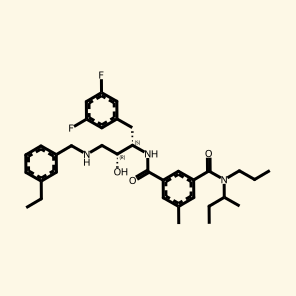 CCCN(C(=O)c1cc(C)cc(C(=O)N[C@@H](Cc2cc(F)cc(F)c2)[C@H](O)CNCc2cccc(CC)c2)c1)C(C)CC